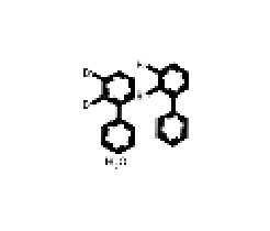 Brc1cccc(-c2ccccc2)c1Br.Brc1cccc(-c2ccccc2)c1Br.O